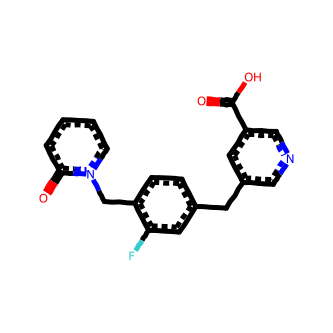 O=C(O)c1cncc(Cc2ccc(Cn3ccccc3=O)c(F)c2)c1